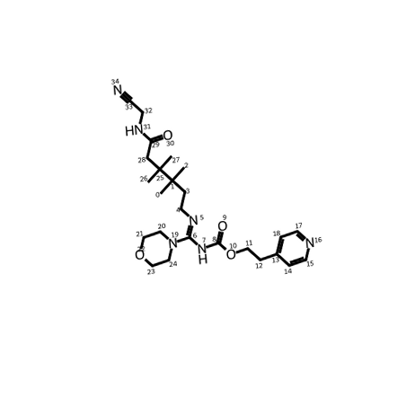 CC(C)(CCN=C(NC(=O)OCCc1ccncc1)N1CCOCC1)C(C)(C)CC(=O)NCC#N